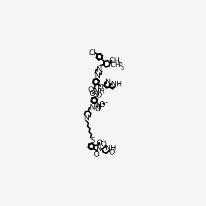 CC1(C)CCC(CN2CCN(c3ccc(C(=O)NS(=O)(=O)c4ccc(NCC5CCN(CCCCCCCSc6cccc7c6C(=O)N(C6CCC(=O)NC6=O)C7=O)CC5)c([N+](=O)[O-])c4)c(Oc4cnc5[nH]ccc5c4)c3)CC2)=C(c2ccc(Cl)cc2)C1